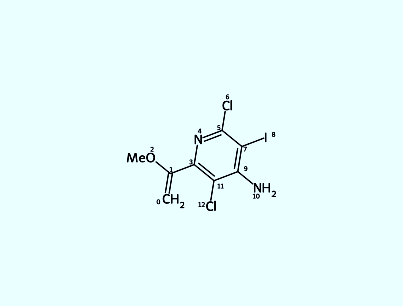 C=C(OC)c1nc(Cl)c(I)c(N)c1Cl